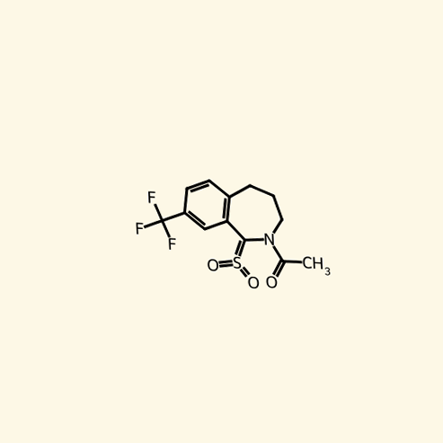 CC(=O)N1CCCc2ccc(C(F)(F)F)cc2C1=S(=O)=O